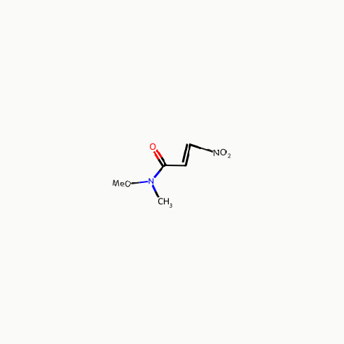 CON(C)C(=O)C=C[N+](=O)[O-]